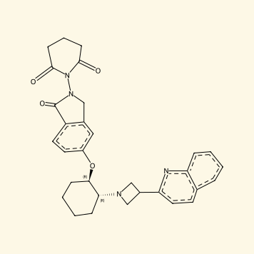 O=C1c2ccc(O[C@@H]3CCCC[C@H]3N3CC(c4ccc5ccccc5n4)C3)cc2CN1N1C(=O)CCCC1=O